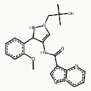 COc1ccccc1C1NN(CC(C)(C)O)C=C1NC(=O)c1cnn2cccnc12